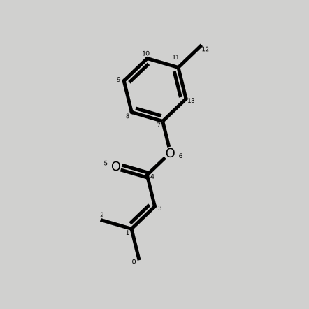 CC(C)=CC(=O)Oc1cccc(C)c1